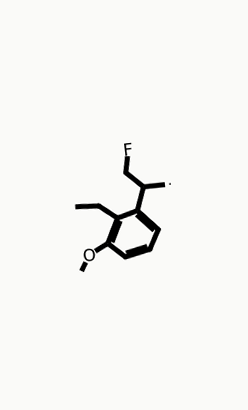 [CH2]C(CF)c1cccc(OC)c1CC